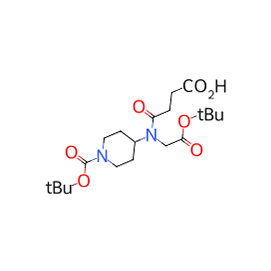 CC(C)(C)OC(=O)CN(C(=O)CCC(=O)O)C1CCN(C(=O)OC(C)(C)C)CC1